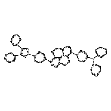 c1ccc(-c2nc(-c3ccc(-c4ccc5ccc6c(-c7ccc(N(c8ccccc8)c8ccccc8)cc7)ccc7ccc4c5c76)cc3)sc2-c2ccccc2)cc1